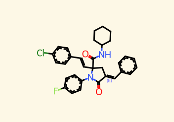 O=C1/C(=C/c2ccccc2)CC(C=Cc2ccc(Cl)cc2)(C(=O)NC2CCCCC2)N1c1ccc(F)cc1